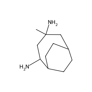 CC1(N)CC2CCC(CC2)C(N)C1